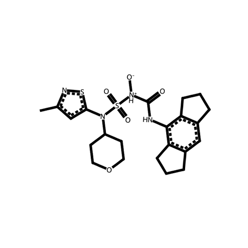 Cc1cc(N(C2CCOCC2)S(=O)(=O)[NH+]([O-])C(=O)Nc2c3c(cc4c2CCC4)CCC3)sn1